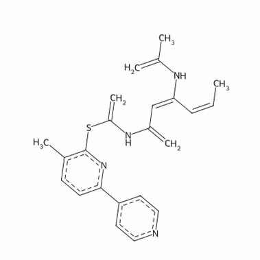 C=C(C)NC(/C=C\C)=C/C(=C)NC(=C)Sc1nc(-c2ccncc2)ccc1C